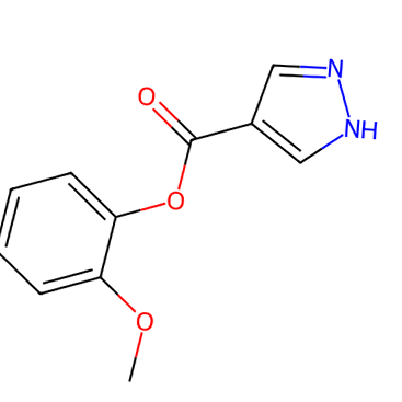 COc1ccccc1OC(=O)c1cn[nH]c1